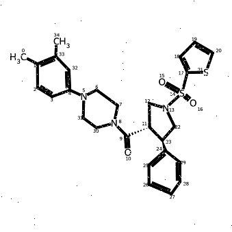 Cc1ccc(N2CCN(C(=O)[C@@H]3CN(S(=O)(=O)c4cccs4)C[C@H]3c3ccccc3)CC2)cc1C